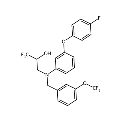 OC(CN(Cc1cccc(OC(F)(F)F)c1)c1cccc(Oc2ccc(F)cc2)c1)C(F)(F)F